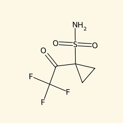 NS(=O)(=O)C1(C(=O)C(F)(F)F)CC1